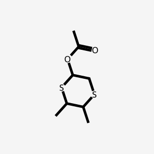 CC(=O)OC1CSC(C)C(C)S1